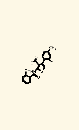 Cc1ccc(-c2csc(NC(=O)c3ccccc3O)c2C(=O)O)c(F)c1